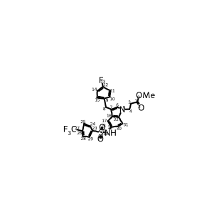 COC(=O)CCn1cc(Cc2ccc(F)cc2)c2cc(NS(=O)(=O)c3ccc(C(F)(F)F)cc3)ccc21